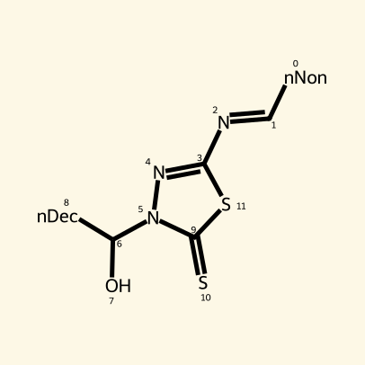 CCCCCCCCC/C=N/c1nn(C(O)CCCCCCCCCC)c(=S)s1